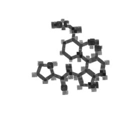 CC(C)(C)C1C(NC(=O)O)CCCN1c1c(Br)cnc2[nH]cc(NC(=O)C3CCCO3)c12